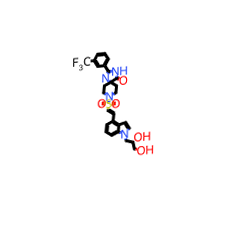 O=C1NC(c2cccc(C(F)(F)F)c2)=NC12CCN(S(=O)(=O)/C=C/c1cccc3c1ccn3C[C@H](O)CO)CC2